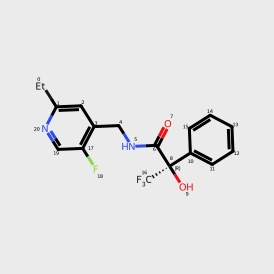 CCc1cc(CNC(=O)[C@](O)(c2ccccc2)C(F)(F)F)c(F)cn1